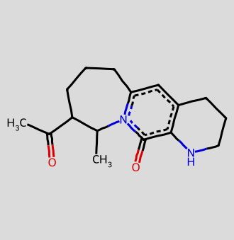 CC(=O)C1CCCc2cc3c(c(=O)n2C1C)NCCC3